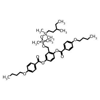 CCCCOc1ccc(C(=O)Oc2ccc(OC(=O)c3ccc(OCCCC)cc3)c(CO[Si](C)(C)O[Si](C)(C)CCC(C)CC)c2)cc1